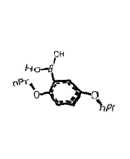 CCCOc1ccc(OCCC)c(B(O)O)c1